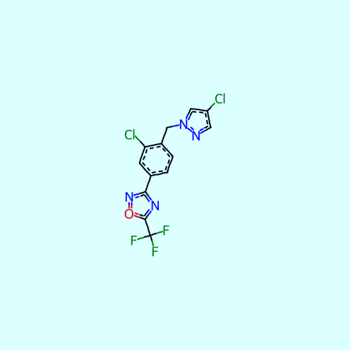 FC(F)(F)c1nc(-c2ccc(Cn3cc(Cl)cn3)c(Cl)c2)no1